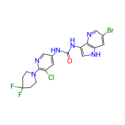 O=C(Nc1cnc(N2CCC(F)(F)CC2)c(Cl)c1)Nc1c[nH]c2cc(Br)cnc12